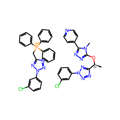 C[C@H](Oc1nnc(-c2ccncc2)n1C)c1nnn(-c2cccc(Cl)c2)n1.Clc1cccc(-n2nnc(C[PH](c3ccccc3)(c3ccccc3)c3ccccc3)n2)c1